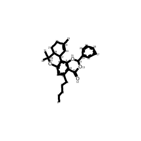 CCCCCc1cc2c(c3c1C(=O)OC(c1ccccc1)O3)C1C=C(C)CCC1C(C)(C)O2